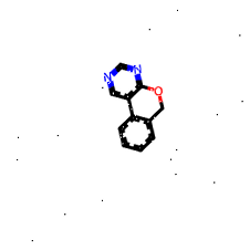 c1ccc2c(c1)COc1ncncc1-2